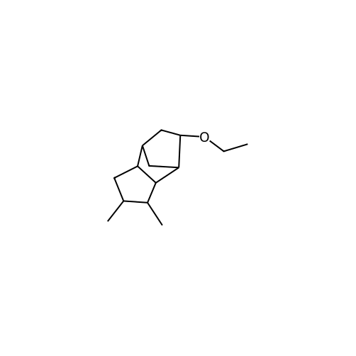 CCOC1CC2CC1C1C(C)C(C)CC21